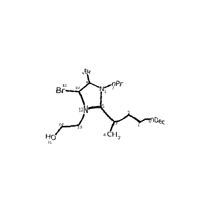 CCCCCCCCCCCCC(C)C1N(CCC)C(Br)C(Br)N1CCO